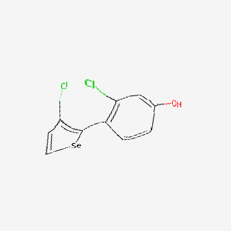 Oc1ccc(-c2[se]ccc2Cl)c(Cl)c1